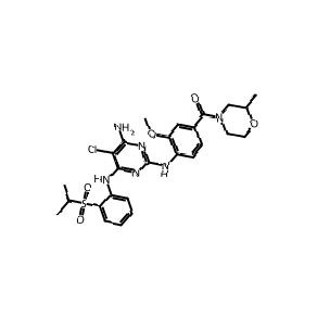 COc1cc(C(=O)N2CCOC(C)C2)ccc1Nc1nc(N)c(Cl)c(Nc2ccccc2S(=O)(=O)C(C)C)n1